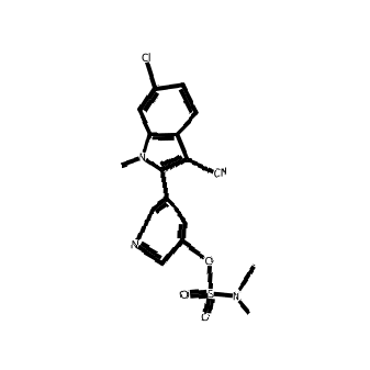 CN(C)S(=O)(=O)Oc1cncc(-c2c(C#N)c3ccc(Cl)cc3n2C)c1